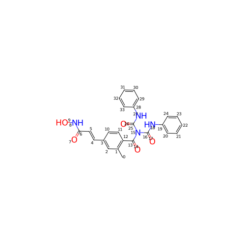 Cc1cc(C=CC(=O)NO)ccc1C(=O)N(C(=O)Nc1ccccc1)C(=O)Nc1ccccc1